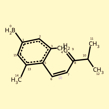 Bc1cc(C)c(/C=C\C(=C)C(C)C)c(C)c1